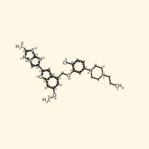 CCCN1CCN(c2ccc(Cl)c(OCc3cc(OC)cc4oc(-c5cn6nc(C)sc6n5)cc34)c2)CC1